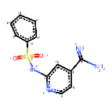 N=C(N)c1ccnc(NS(=O)(=O)c2ccccc2)c1